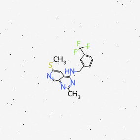 CSc1cc2c(NCc3cccc(C(F)(F)F)c3)nc(C)nc2cn1